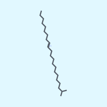 CCCCCCCC/C=C/CCCCCCCCCCC(C)C